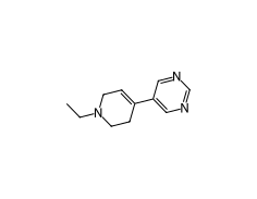 CCN1CC=C(c2cncnc2)CC1